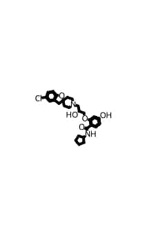 O=C(NC1CCCC1)c1ccc(O)cc1OC[C@@H](O)CN1CCC2(CC1)Cc1cc(Cl)ccc1O2